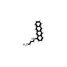 CCCCNc1cccc2cc3cc4ccccc4cc3cc12